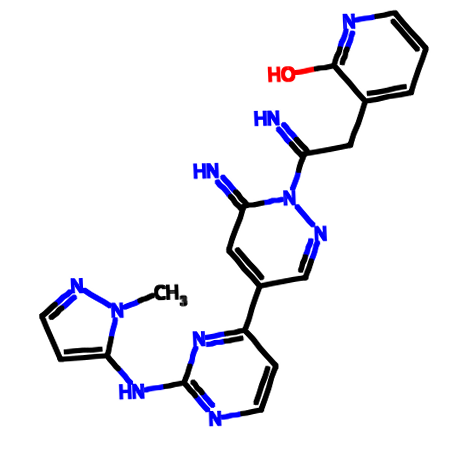 Cn1nccc1Nc1nccc(-c2cnn(C(=N)Cc3cccnc3O)c(=N)c2)n1